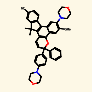 COc1cc2c3c(c4c(c2cc1N1CCOCC1)-c1ccc(C#N)cc1C4(C)C)C=CC(c1ccccc1)(c1ccc(N2CCOCC2)cc1)O3